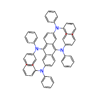 c1ccc(N(c2ccccc2)c2ccc3c(N(c4ccccc4)c4ccccc4)c4cc(N(c5ccccc5)c5ccccc5)ccc4c(N(c4ccccc4)c4ccccc4)c3c2)cc1